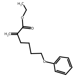 C=C(CCCCOc1ccccc1)C(=O)OCC